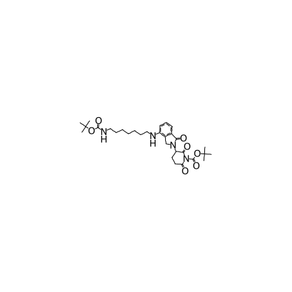 CC(C)(C)OC(=O)NCCCCCCCNc1cccc2c1CN(C1CCC(=O)N(C(=O)OC(C)(C)C)C1=O)C2=O